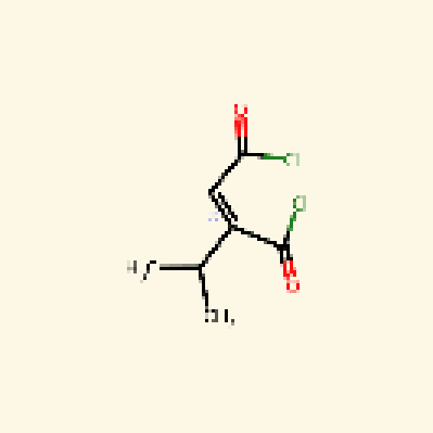 CC(C)/C(=C/C(=O)Cl)C(=O)Cl